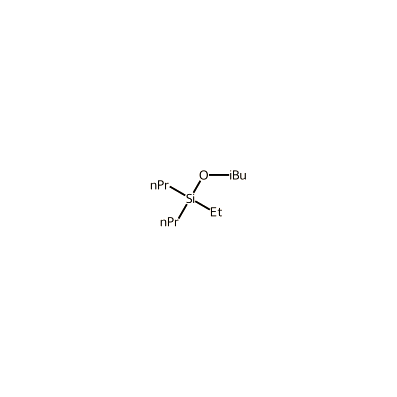 CCC[Si](CC)(CCC)OC(C)CC